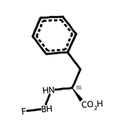 O=C(O)[C@H](Cc1ccccc1)NBF